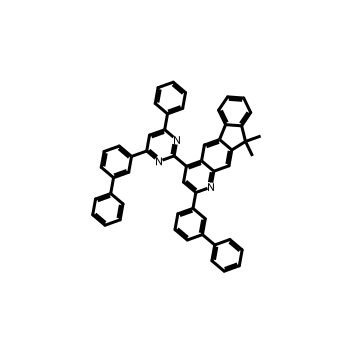 CC1(C)c2ccccc2-c2cc3c(-c4nc(-c5ccccc5)cc(-c5cccc(-c6ccccc6)c5)n4)cc(-c4cccc(-c5ccccc5)c4)nc3cc21